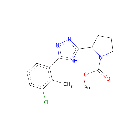 Cc1c(Cl)cccc1-c1nnc(C2CCCN2C(=O)OC(C)(C)C)[nH]1